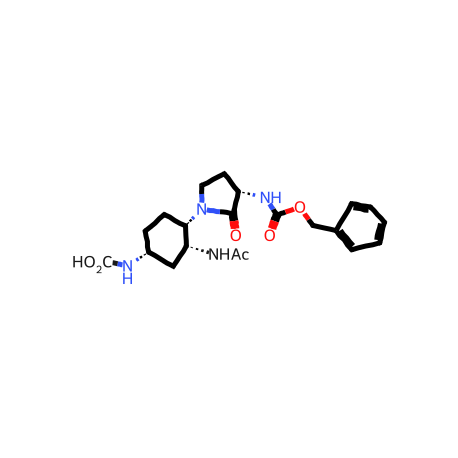 CC(=O)N[C@@H]1C[C@H](NC(=O)O)CC[C@@H]1N1CC[C@H](NC(=O)OCc2ccccc2)C1=O